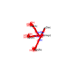 CCCCCCCCCCCCCCCC(=O)NCCCCC(NC(=O)C(CCCCNC(=O)COCCOCCOCCO[C@@H]1O[C@H](CO)[C@H](O)[C@H](O)[C@H]1NC(C)=O)NC(=O)C(CCCCNC(=O)COCCOCCOCCO[C@@H]1C[C@H](CO)[C@H](O)[C@H](O)[C@H]1NC(C)=O)NC(=O)COCCOCCOCCO[C@@H]1O[C@H](CO)[C@H](O)[C@H](O)[C@H]1NC(C)=O)C(=O)NCCCCCCC